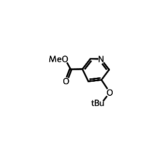 COC(=O)c1cncc(OC(C)(C)C)c1